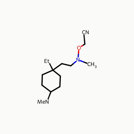 CCC1(CCN(C)OCC#N)CCC(NC)CC1